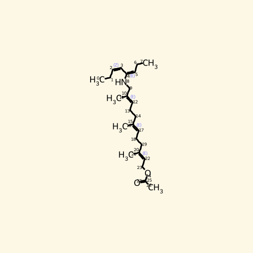 CC/C=C\C(=C/CC)NC/C(C)=C/CC/C(C)=C/CC/C(C)=C/COC(C)=O